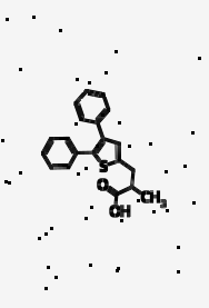 CC(Cc1cc(-c2ccccc2)c(-c2ccccc2)s1)C(=O)O